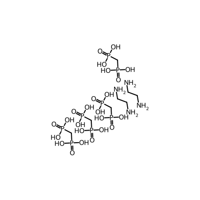 NCCN.NCCN.O=P(O)(O)CP(=O)(O)O.O=P(O)(O)CP(=O)(O)O.O=P(O)(O)CP(=O)(O)O.O=P(O)(O)CP(=O)(O)O